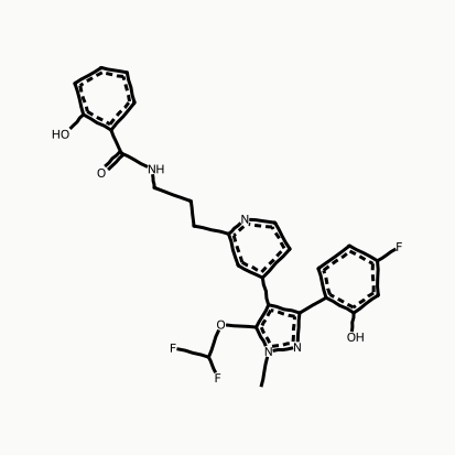 Cn1nc(-c2ccc(F)cc2O)c(-c2ccnc(CCCNC(=O)c3ccccc3O)c2)c1OC(F)F